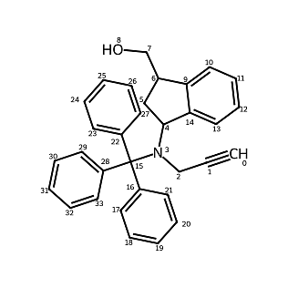 C#CCN(C1CC(CO)c2ccccc21)C(c1ccccc1)(c1ccccc1)c1ccccc1